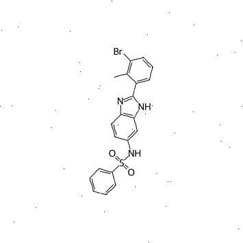 Cc1c(Br)cccc1-c1nc2ccc(NS(=O)(=O)c3ccccc3)cc2[nH]1